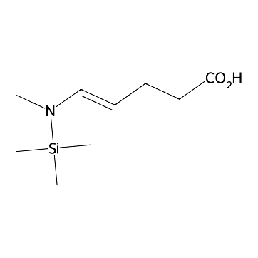 CN(C=CCCC(=O)O)[Si](C)(C)C